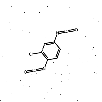 O=C=Nc1ccc(N=C=O)c(Cl)c1